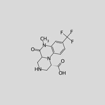 CN1C(=O)C2CNC[C@@H](C(=O)O)N2c2ccc(C(F)(F)F)cc21